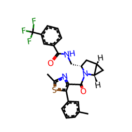 Cc1cccc(-c2sc(C)nc2C(=O)N2[C@H](CNC(=O)c3cccc(C(F)(F)F)c3)C[C@@H]3C[C@@H]32)c1